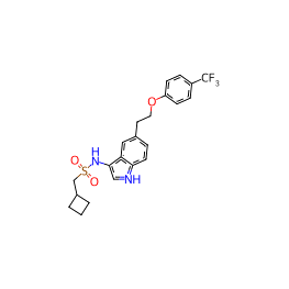 O=S(=O)(CC1CCC1)Nc1c[nH]c2ccc(CCOc3ccc(C(F)(F)F)cc3)cc12